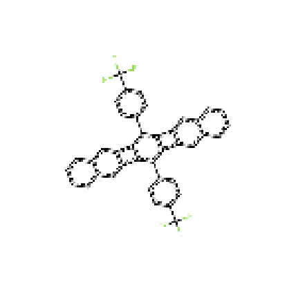 FC(F)(F)c1ccc(-c2c3c4cc5ccccc5cc4c3c(-c3ccc(C(F)(F)F)cc3)c3c4cc5ccccc5cc4c23)cc1